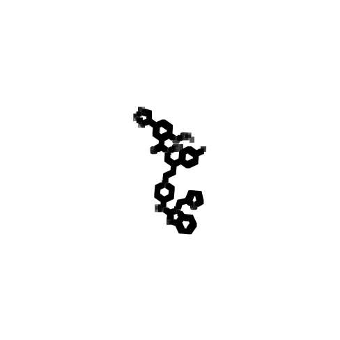 COc1ccc(C2C=NN=N2)cc1C(=O)N(C)CC(CCN1CCC(Nc2nc3ccccc3n2Cc2ccco2)CC1)c1ccc(F)cc1